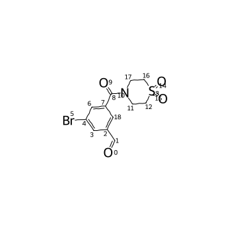 O=Cc1cc(Br)cc(C(=O)N2CCS(=O)(=O)CC2)c1